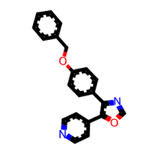 c1ccc(COc2ccc(-c3ncoc3-c3ccncc3)cc2)cc1